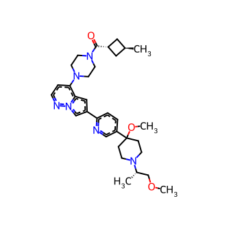 COC[C@H](C)N1CCC(OC)(c2ccc(-c3cc4c(N5CCN(C(=O)[C@H]6C[C@H](C)C6)CC5)ccnn4c3)nc2)CC1